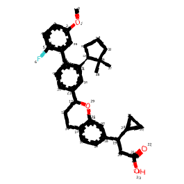 COc1ccc(F)c(-c2ccc(C3CCc4ccc(C(CC(=O)O)C5CC5)cc4O3)cc2[C@H]2CCCC2(C)C)c1